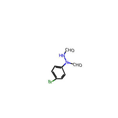 O=CNN(C=O)c1ccc(Br)cc1